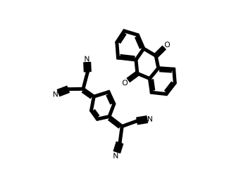 N#CC(C#N)=c1ccc(=C(C#N)C#N)cc1.O=C1c2ccccc2C(=O)c2ccccc21